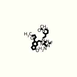 CC(=O)N1CCCC(CCn2c(Cc3cc4c(cc3-c3ccc(C)o3)CCC4=O)nc3c(N)nc(F)nc32)C1